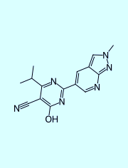 CC(C)c1nc(-c2cnc3nn(C)cc3c2)nc(O)c1C#N